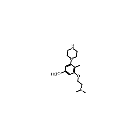 Cc1c(OCCN(C)C)cc(Cl)cc1N1CCNCC1.Cl